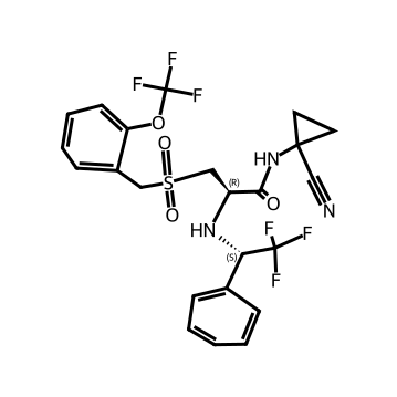 N#CC1(NC(=O)[C@H](CS(=O)(=O)Cc2ccccc2OC(F)(F)F)N[C@@H](c2ccccc2)C(F)(F)F)CC1